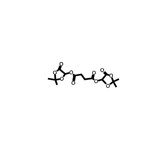 CC1(C)OC(=O)C(OC(=O)CCC(=O)OC2OC(C)(C)OC2=O)O1